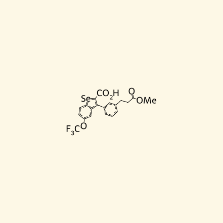 COC(=O)CCc1cccc(-c2c(C(=O)O)[se]c3ccc(OC(F)(F)F)cc23)c1